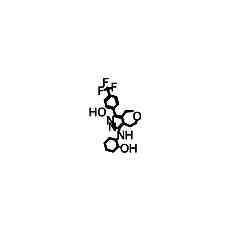 Oc1cc(C(F)(F)F)ccc1-c1nnc(N[C@@H]2CCCC[C@H]2O)c2c1CCOCC2